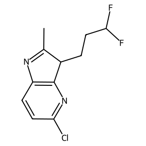 CC1=Nc2ccc(Cl)nc2C1CCC(F)F